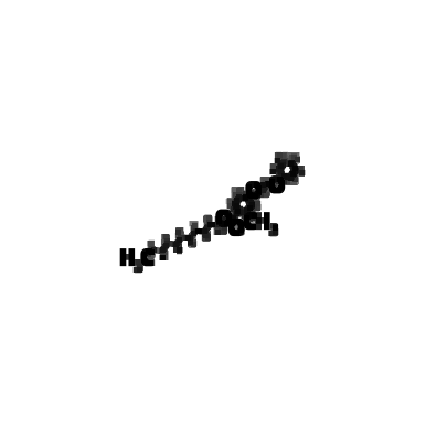 CCCCCCCCCCCOC(=O)c1ccc(OCCOc2ccccc2)cc1C